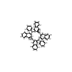 c1ccc(P2c3cc4ccccc4cc3Nc3cc4ccccc4cc3P(c3ccccc3)c3cc4ncccc4cc3Nc3cc4cccnc4cc32)cc1